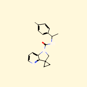 CC(NC(=O)N1CC2(CC2)c2ncccc21)c1ccc(C(F)(F)F)cc1